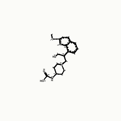 COc1ccc2cccc(C(CO)CN3CCC(NC(=O)O)CC3)c2n1